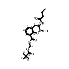 CCCC(=O)NC1Cc2cccc(C(=O)OCOC(=O)C(C)(C)C)c2OB1O